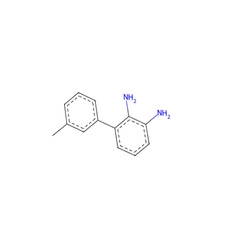 Cc1cccc(-c2cccc(N)c2N)c1